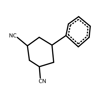 N#CC1CC(C#N)CC(c2ccccc2)C1